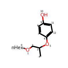 CCCCCCOCC(C)Oc1ccc(O)cc1